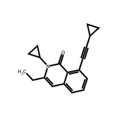 CCc1cc2cccc(C#CC3CC3)c2c(=O)n1C1CC1